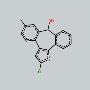 OC1c2cc(F)ccc2-c2cc(Cl)sc2-c2ccccc21